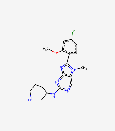 COc1cc(Br)ccc1-c1nc2nc(N[C@@H]3CCCNC3)ncc2n1C